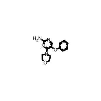 Nc1ncc(Oc2ccccc2)c(N2CCOCC2)n1